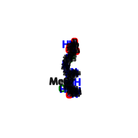 COc1cc(N2CCC(N3CCN(CC4CCN(c5cc6c(cc5F)C(=O)N(C5CCC(=O)NC5=O)C6=O)CC4)CC3)CC2)c(-c2cnn(C)c2)cc1Nc1ncc(Cl)c(Nc2ccc3nccnc3c2P(C)(C)=O)n1